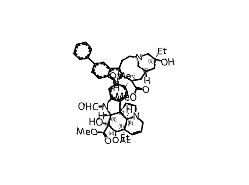 CC[C@]1(O)C[C@H]2CN(CCc3c([nH]c4ccc(-c5ccccc5)cc34)[C@@](C(=O)OC)(c3cc4c(cc3OC)N(C=O)[C@H]3[C@@](O)(C(=O)OC)[C@H](OC(C)=O)[C@]5(CC)C=CCN6CC[C@]43[C@@H]65)C2)C1